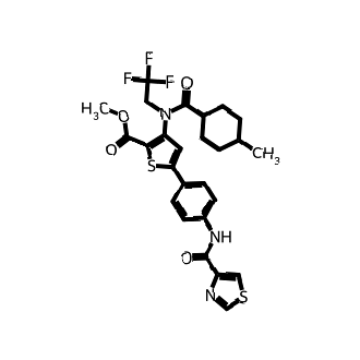 COC(=O)c1sc(-c2ccc(NC(=O)c3cscn3)cc2)cc1N(CC(F)(F)F)C(=O)C1CCC(C)CC1